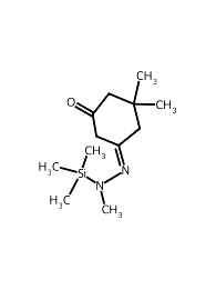 CN(N=C1CC(=O)CC(C)(C)C1)[Si](C)(C)C